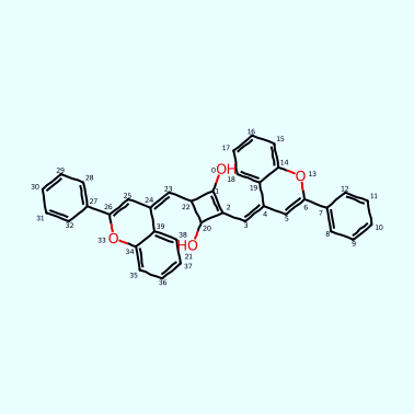 OC1=C(/C=C2/C=C(c3ccccc3)Oc3ccccc32)C(O)C1/C=C1/C=C(c2ccccc2)Oc2ccccc21